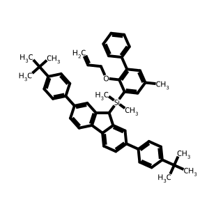 C=CCOc1c(-c2ccccc2)cc(C)cc1[Si](C)(C)C1c2cc(-c3ccc(C(C)(C)C)cc3)ccc2-c2ccc(-c3ccc(C(C)(C)C)cc3)cc21